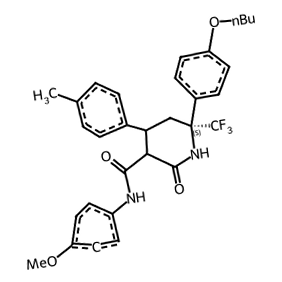 CCCCOc1ccc([C@]2(C(F)(F)F)CC(c3ccc(C)cc3)C(C(=O)Nc3ccc(OC)cc3)C(=O)N2)cc1